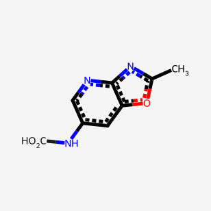 Cc1nc2ncc(NC(=O)O)cc2o1